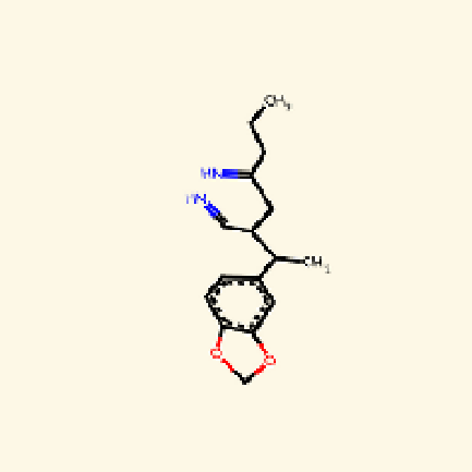 CCCC(=N)CC(C=N)C(C)c1ccc2c(c1)OCO2